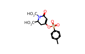 Cc1ccc(S(=O)(=O)OC2=CC(=O)N(C(=O)O)C(C(=O)O)C2)cc1